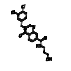 O=C(NCCCO)c1ccc2c(=O)n(Cc3ccc(Cl)c(Cl)c3)cnc2c1